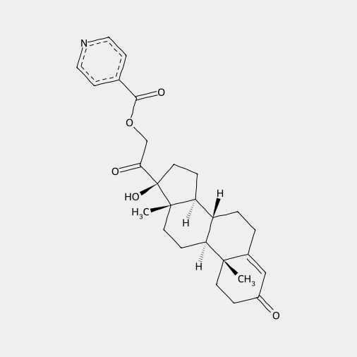 C[C@]12CCC(=O)C=C1CC[C@@H]1[C@@H]2CC[C@@]2(C)[C@H]1CC[C@@]2(O)C(=O)COC(=O)c1ccncc1